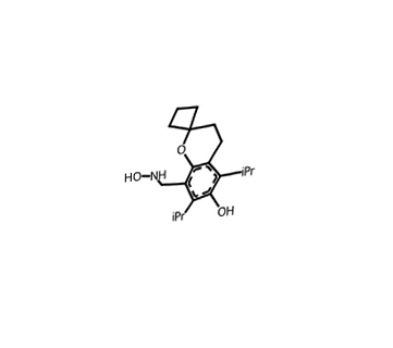 CC(C)c1c(O)c(C(C)C)c(CNO)c2c1CCC1(CCC1)O2